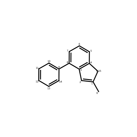 CC1=Cc2c(cccc2-c2ccccc2)[C]1